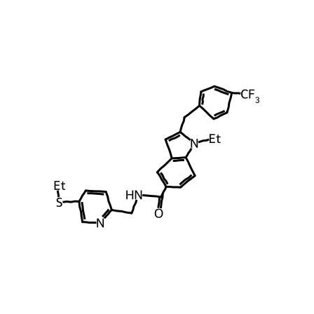 CCSc1ccc(CNC(=O)c2ccc3c(c2)cc(Cc2ccc(C(F)(F)F)cc2)n3CC)nc1